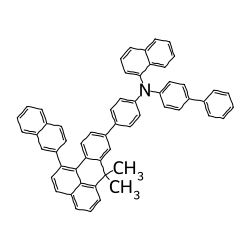 CC1(C)c2cc(-c3ccc(N(c4ccc(-c5ccccc5)cc4)c4cccc5ccccc45)cc3)ccc2-c2c(-c3ccc4ccccc4c3)ccc3cccc1c23